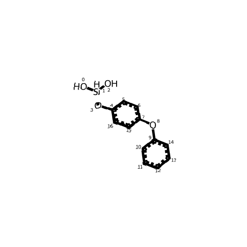 O[SiH](O)Oc1ccc(Oc2ccccc2)cc1